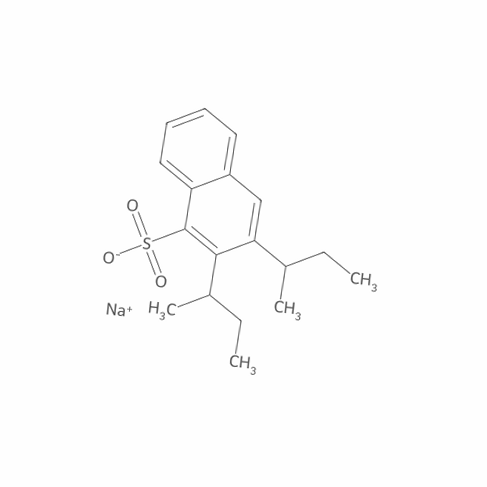 CCC(C)c1cc2ccccc2c(S(=O)(=O)[O-])c1C(C)CC.[Na+]